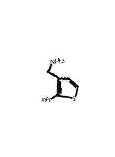 CCCc1sccc1CN